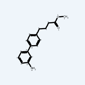 COC(=O)CCCc1ccc(-c2cccc(N)c2)cc1